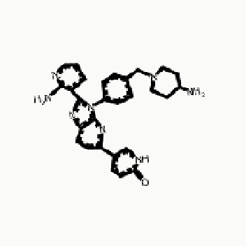 Nc1ncccc1-c1nc2ccc(-c3ccc(=O)[nH]c3)nc2n1-c1ccc(CN2CCC(N)CC2)cc1